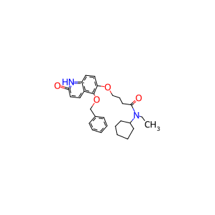 CCN(C(=O)CCCOc1ccc2[nH]c(=O)ccc2c1OCc1ccccc1)C1CCCCC1